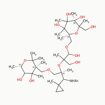 CC(=O)NC(C1(C)CC1)[C@@](C)(COC[C@]1(C)C(C)(C)O[C@@H](C)C(O)C1(C)O)OC(C)(CO)C(O)OC[C@]1(C)OC(C)(CO)[C@](C)(O)C(C)(O)C1(C)O